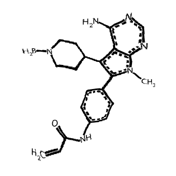 BN1CCC(c2c(-c3ccc(NC(=O)C=C)cc3)n(C)c3ncnc(N)c23)CC1